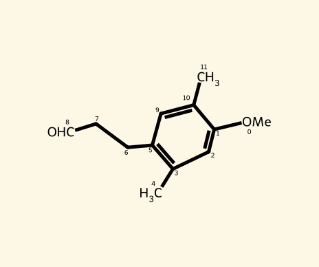 COc1cc(C)c(CCC=O)cc1C